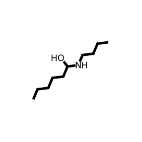 CCCCCC(O)NCCCC